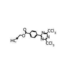 C#CCOC(=O)c1ccc(-c2nc(C(Cl)(Cl)Cl)nc(C(Cl)(Cl)Cl)n2)cc1